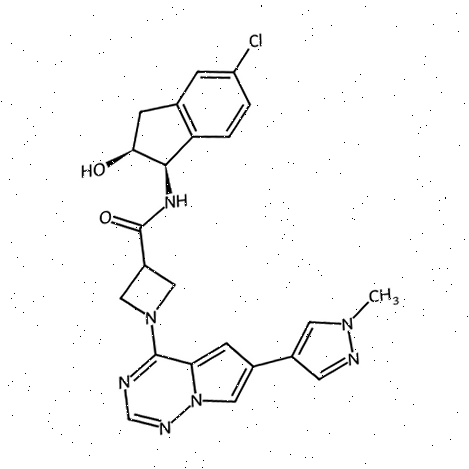 Cn1cc(-c2cc3c(N4CC(C(=O)N[C@@H]5c6ccc(Cl)cc6C[C@@H]5O)C4)ncnn3c2)cn1